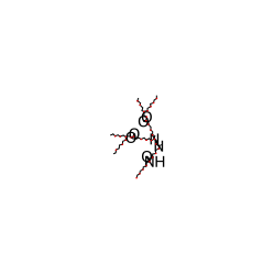 CCCCCCCCNC(=O)CCCCCN(C)CCN(CCCCCCCC(=O)OCC(CCCCCC)CCCCCCCC)CCCCCCCC(=O)OCC(CCCCCC)CCCCCCCC